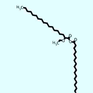 CCCCCCCCCCCCCCCCCC(=O)OC(=O)C(CCCCCCCCCCCCCCCC)OCC